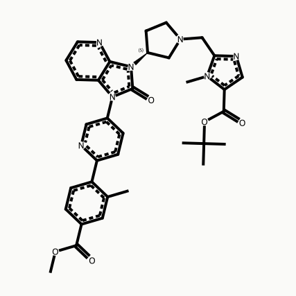 COC(=O)c1ccc(-c2ccc(-n3c(=O)n([C@H]4CCN(Cc5ncc(C(=O)OC(C)(C)C)n5C)C4)c4ncccc43)cn2)c(C)c1